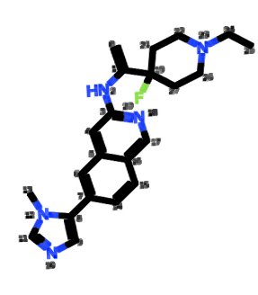 C=C(Nc1cc2cc(-c3cncn3C)ccc2cn1)C1(F)CCN(CC)CC1